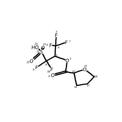 O=C(OC(C(F)(F)F)C(F)(F)S(=O)(=O)O)C1CCCO1